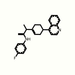 C=C(Nc1ccc(F)cc1)C(C)C1=CCC(c2ccnc3ccccc23)CC1